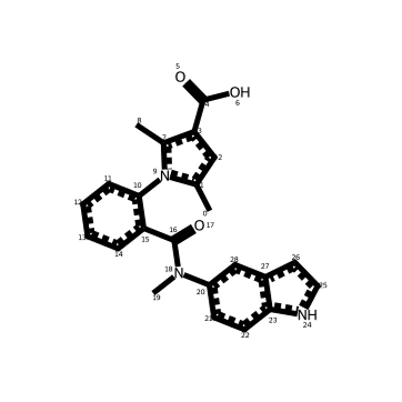 Cc1cc(C(=O)O)c(C)n1-c1ccccc1C(=O)N(C)c1ccc2[nH]ccc2c1